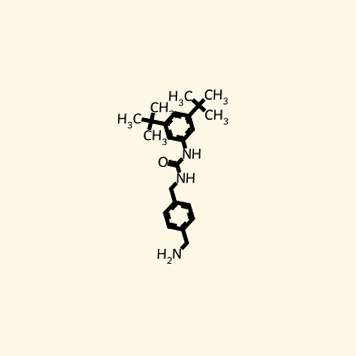 CC(C)(C)c1cc(NC(=O)NCc2ccc(CN)cc2)cc(C(C)(C)C)c1